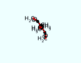 C=CC(=O)OCCc1ccc(C#Cc2ccc(-c3ccc(C#Cc4ccc(CCOC(=O)C=C)cc4)cc3N(C)C)c(N(C)C)c2)cc1